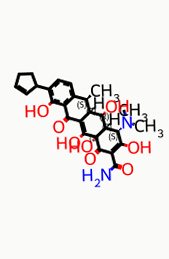 C[C@@H]1c2ccc(C3C=CCC3)c(O)c2C(=O)C2=C(O)[C@]3(O)C(=O)C(C(N)=O)=C(O)[C@@H](N(C)C)[C@@H]3[C@H](O)[C@@H]21